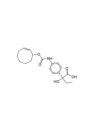 CCC(O)(C(=O)O)c1ccc(NC(=O)OC2C=CCCCCC2)cc1